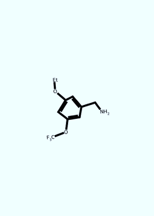 CCOc1cc(CN)cc(OC(F)(F)F)c1